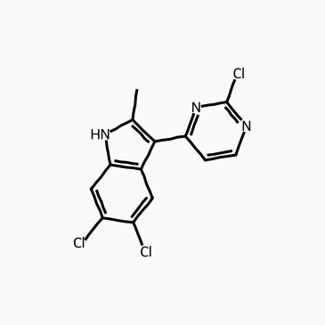 Cc1[nH]c2cc(Cl)c(Cl)cc2c1-c1ccnc(Cl)n1